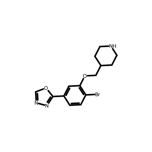 Brc1ccc(-c2nnco2)cc1OCC1CCNCC1